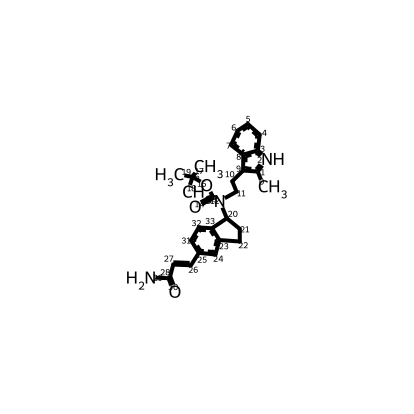 Cc1[nH]c2ccccc2c1CCN(C(=O)OC(C)(C)C)C1CCc2cc(/C=C/C(N)=O)ccc21